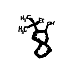 CCC(C)(C)c1cc2ccccc2cc1O